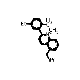 CCc1ccc(C)c(-c2ccc3c(CC(C)C)cccc3[n+]2C)c1